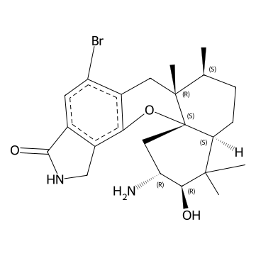 C[C@H]1CC[C@H]2C(C)(C)[C@@H](O)[C@H](N)C[C@]23Oc2c(c(Br)cc4c2CNC4=O)C[C@]13C